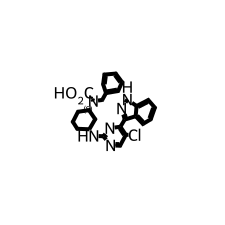 O=C(O)N(Cc1ccccc1)[C@H]1CCCC(Nc2ncc(Cl)c(-c3n[nH]c4ccccc34)n2)C1